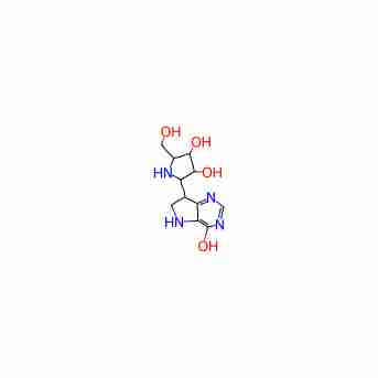 OCC1NC(C2CNc3c(O)ncnc32)C(O)C1O